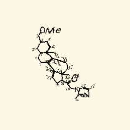 COCC1CCC2(C)C(CCC3C2CCC2(C)C(C(=O)Cn4ccnc4C)CCC32)C1